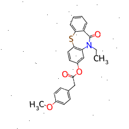 CCN1C(=O)c2ccccc2Sc2ccc(OC(=O)Cc3ccc(OC)cc3)cc21